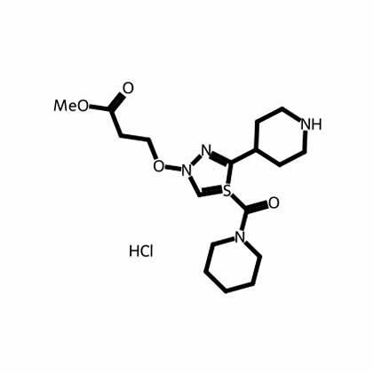 COC(=O)CCON1C=S(C(=O)N2CCCCC2)C(C2CCNCC2)=N1.Cl